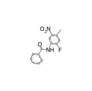 Cc1cc(F)c(NC(=O)c2ccccc2)cc1[N+](=O)[O-]